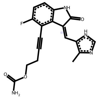 Cc1nc[nH]c1/C=C1\C(=O)Nc2ccc(F)c(C#CCCOC(N)=O)c21